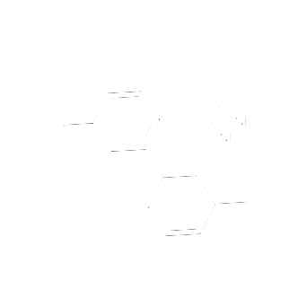 Brc1cccc(-c2cccc(Br)c2)c1.N=C=O.N=C=O